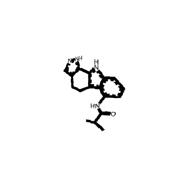 CC(C)C(=O)Nc1cccc2[nH]c3c(c12)CCc1cn[nH]c1-3